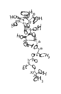 CCC(CC(=O)OC(C)COC[C@H]1O[C@@](CO)(O[C@H]2OC(CO)[C@@H](O)[C@H](O)C2O)[C@H](O)C1O)OCC(C)O